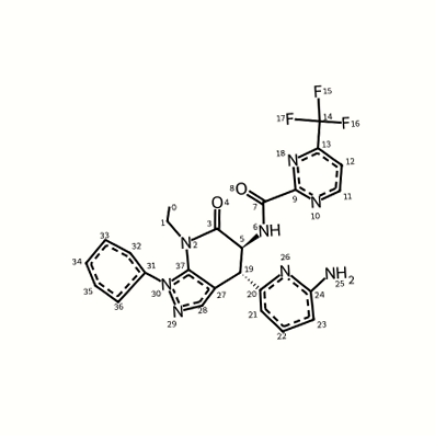 CCN1C(=O)[C@@H](NC(=O)c2nccc(C(F)(F)F)n2)[C@H](c2cccc(N)n2)c2cnn(-c3ccccc3)c21